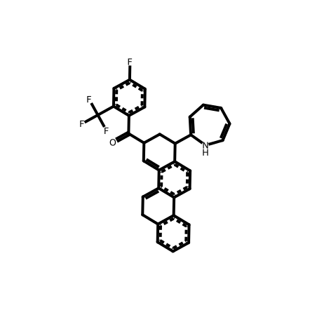 O=C(c1ccc(F)cc1C(F)(F)F)C1C=c2c(ccc3c2=CCc2ccccc2-3)C(C2=CC=CC=CN2)C1